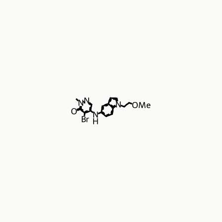 COCCn1ccc2cc(Nc3cnn(C)c(=O)c3Br)ccc21